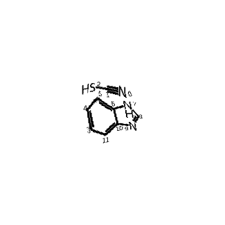 N#CS.c1ccc2[nH]cnc2c1